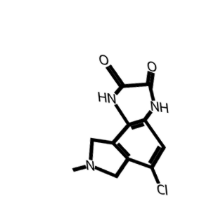 CN1Cc2c(Cl)cc3[nH]c(=O)c(=O)[nH]c3c2C1